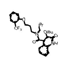 CC(C)COc1c(C(=O)N(CCCOc2ccccc2C(F)(F)F)CC(C)C)c2ccccc2[nH]c1=O